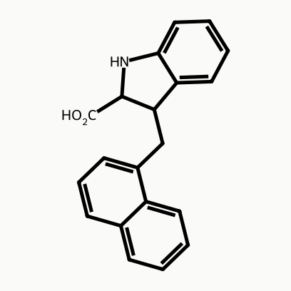 O=C(O)C1Nc2ccccc2C1Cc1cccc2ccccc12